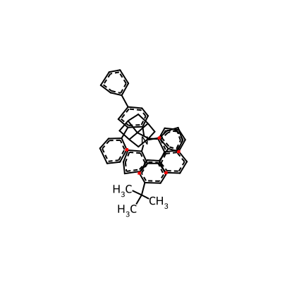 CC(C)(C)c1ccc(-c2ccccc2N(c2ccc(-c3ccccc3)cc2-c2ccccc2)c2ccccc2-c2cccc3cccc(C45CC6CC7CC(C4)C765)c23)cc1